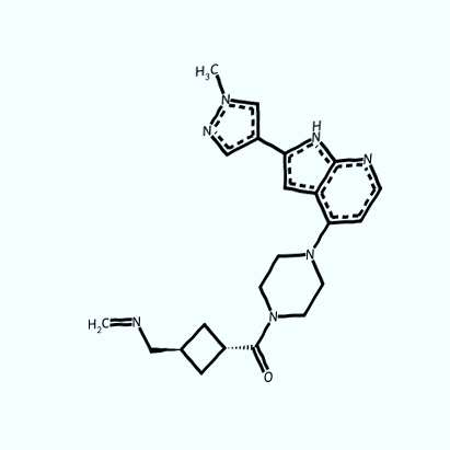 C=NC[C@H]1C[C@H](C(=O)N2CCN(c3ccnc4[nH]c(-c5cnn(C)c5)cc34)CC2)C1